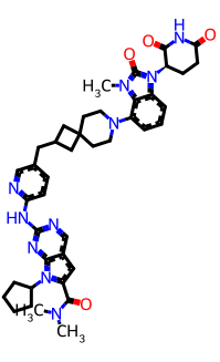 CN(C)C(=O)c1cc2cnc(Nc3ccc(CC4CC5(CCN(c6cccc7c6n(C)c(=O)n7[C@@H]6CCC(=O)NC6=O)CC5)C4)cn3)nc2n1C1CCCC1